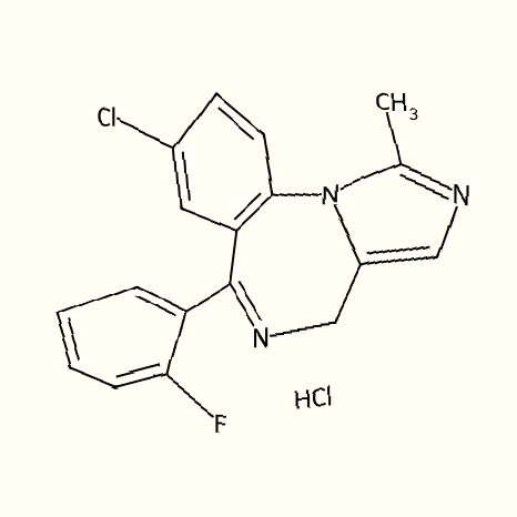 Cc1ncc2n1-c1ccc(Cl)cc1C(c1ccccc1F)=NC2.Cl